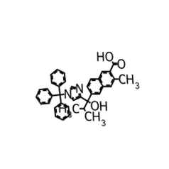 Cc1cc2cc(C(O)(c3cn(C(c4ccccc4)(c4ccccc4)c4ccccc4)cn3)C(C)C)ccc2cc1C(=O)O